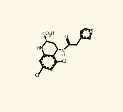 O=C(Cc1ccsc1)N[C@H]1C[C@H](C(=O)O)Nc2cc(Cl)cc(Cl)c21